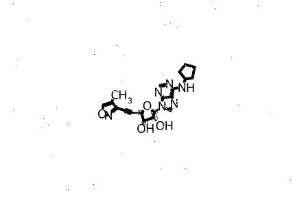 Cc1conc1C#C[C@H]1O[C@@H](n2cnc3c(NC4CCCC4)ncnc32)[C@H](O)[C@@H]1O